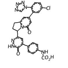 O=C(O)Nc1ccc(-c2cc(C3CCc4cc(-c5cc(Cl)ccc5-n5cnnn5)cc(=O)n43)n[nH]c2=O)cc1